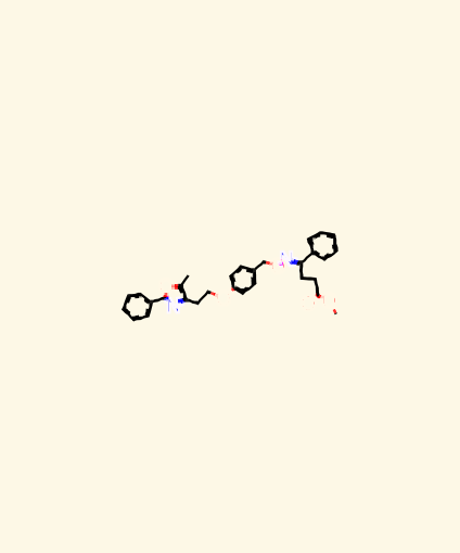 COC(=O)CC/C(=N\OCc1ccc(OCCc2nc(-c3ccccc3)oc2C)cc1)c1ccccc1